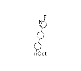 CCCCCCCCC1CCC(C2CCC(c3ccc(F)nc3)CC2)CC1